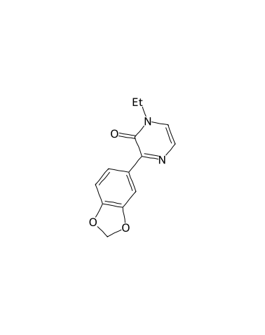 CCn1ccnc(-c2ccc3c(c2)OCO3)c1=O